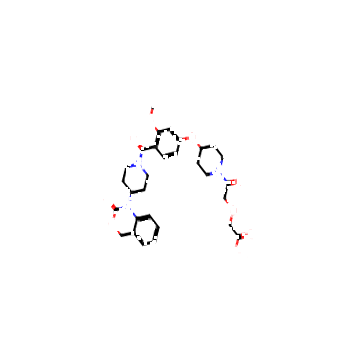 COc1cc(OC2CCN(C(=O)COCC(=O)O)CC2)ccc1C(=O)N1CCC(N2C(=O)OCc3ccccc32)CC1